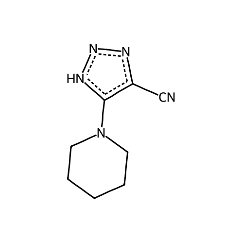 N#Cc1nn[nH]c1N1CCCCC1